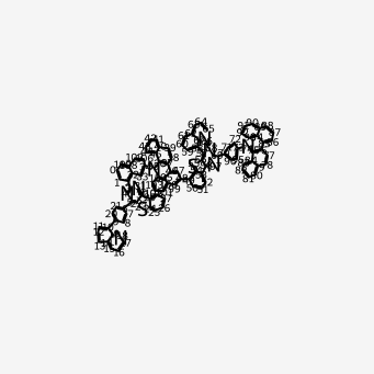 c1cc(-c2nc(-c3ccc(-c4cccc5cccnc45)cc3)c3sc4ccccc4c3n2)c2cc(N3c4c(ccc5ccccc45)-c4cc(-c5cccc6c5sc5c(-c7cccc8cccnc78)nc(-c7ccc(N8c9c(ccc%10ccccc9%10)-c9cccc%10cccc8c9%10)cc7)nc56)cc5cccc3c45)ccc2c1